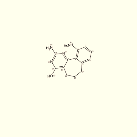 CC(=O)Nc1cccc2c1-c1nc(N)nc(O)c1CCC2